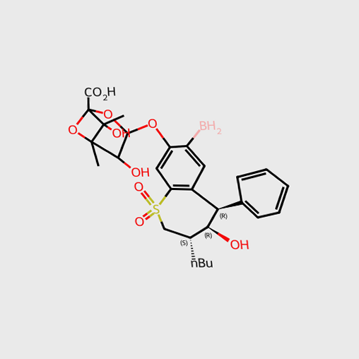 Bc1cc2c(cc1OC1OC3(C(=O)O)OC(C)(C1O)C3(C)O)S(=O)(=O)C[C@@H](CCCC)[C@H](O)[C@@H]2c1ccccc1